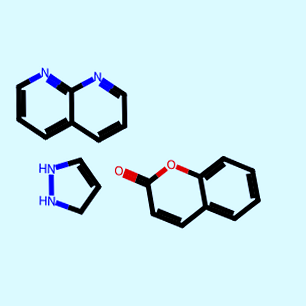 C1=CNNC1.O=c1ccc2ccccc2o1.c1cnc2ncccc2c1